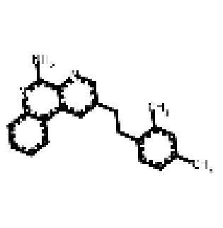 Cc1ccc(CCc2cnc3c(N)nc4ccccc4c3c2)c(C)c1